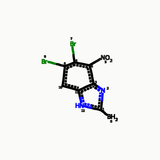 Bc1nc2c([N+](=O)[O-])c(Br)c(Br)cc2[nH]1